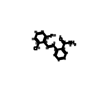 NC(=O)c1ccccc1/N=C/c1c(F)cccc1Cl